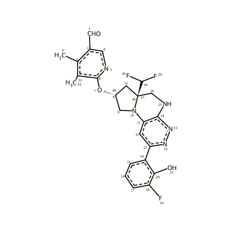 Cc1c(C=O)cnc(O[C@H]2CN3c4cc(-c5cccc(F)c5O)nnc4NC[C@@]3(C(F)F)C2)c1C